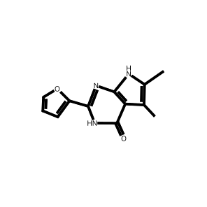 Cc1[nH]c2nc(-c3ccco3)[nH]c(=O)c2c1C